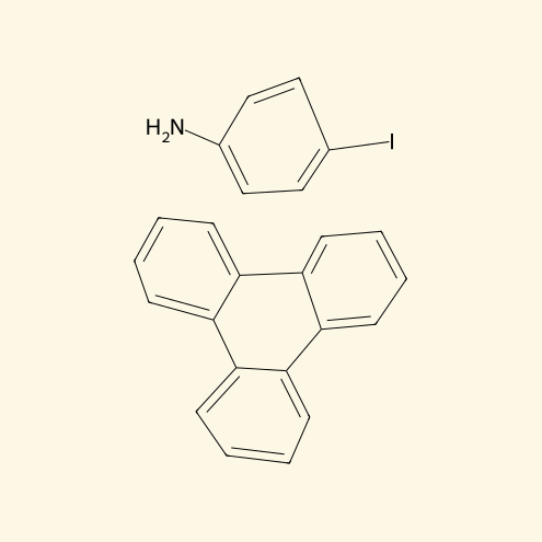 Nc1ccc(I)cc1.c1ccc2c(c1)c1ccccc1c1ccccc21